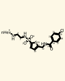 CCCCCCNCCNS(=O)(=O)c1ccc(CNC(=O)c2ccc(Cl)cc2)s1